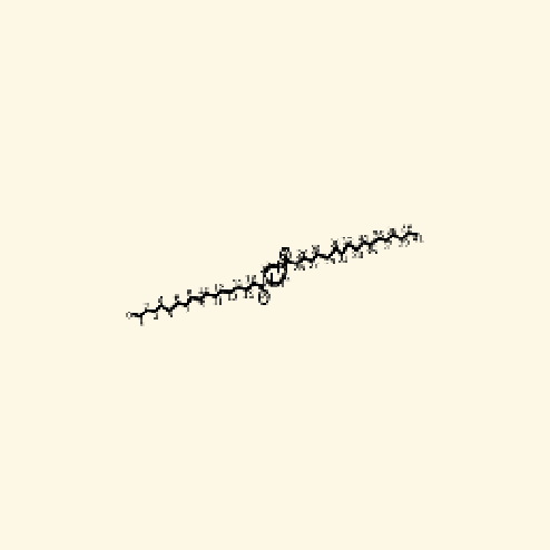 CCCCCCCCCCCCCCCCCC(=O)N1CCN(C(=O)CCCCCCCCCCCCCCCCC)CC1